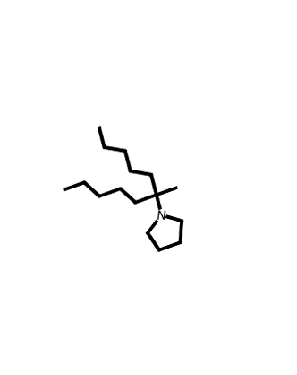 CCCCCC(C)(CCCCC)N1CCCC1